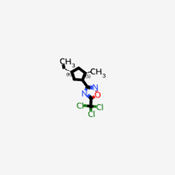 CC[C@H]1CC(c2noc(C(Cl)(Cl)Cl)n2)[C@@H](C)C1